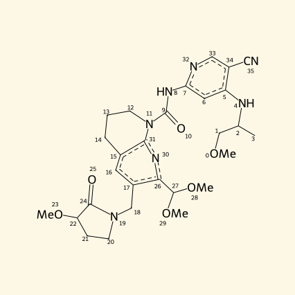 COCC(C)Nc1cc(NC(=O)N2CCCc3cc(CN4CCC(OC)C4=O)c(C(OC)OC)nc32)ncc1C#N